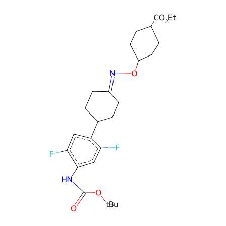 CCOC(=O)C1CCC(ON=C2CCC(c3cc(F)c(NC(=O)OC(C)(C)C)cc3F)CC2)CC1